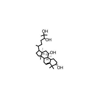 CC(CCC(O)C(C)(C)O)C1CC[C@@]2(C)C3CC=C4C(CC[C@H](O)C4(C)C)[C@]3(C)[C@@H](O)C[C@]12C